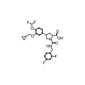 O=C(O)C1CC(c2ccc(OC(F)F)c(OCC3CC3)c2)CN1C(=O)NCc1ccc(F)cc1F